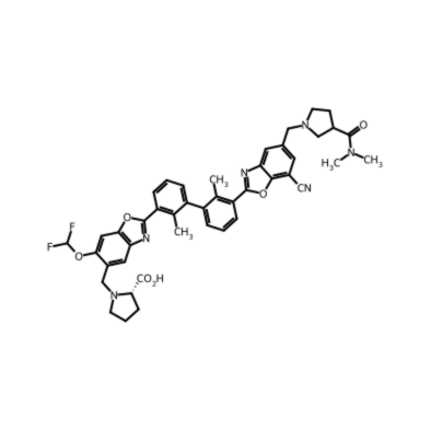 Cc1c(-c2nc3cc(CN4CCC[C@H]4C(=O)O)c(OC(F)F)cc3o2)cccc1-c1cccc(-c2nc3cc(CN4CCC(C(=O)N(C)C)C4)cc(C#N)c3o2)c1C